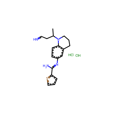 CC(CC=N)N1CCCc2cc(N=C(N)c3cccs3)ccc21.Cl.Cl